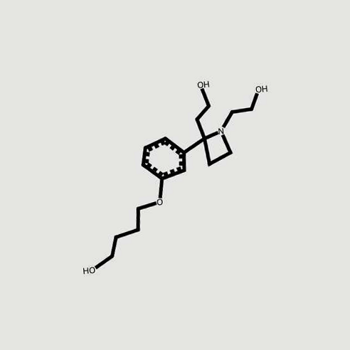 OCCCCOc1cccc(C2(CCO)CCN2CCO)c1